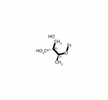 CCO[C@@H](C)[C@@H](C)C(=O)O.Cl